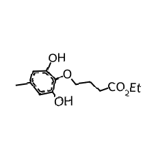 CCOC(=O)CCCOc1c(O)cc(C)cc1O